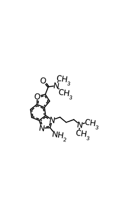 CN(C)CCCn1c(N)nc2ccc3oc(C(=O)N(C)C)cc3c21